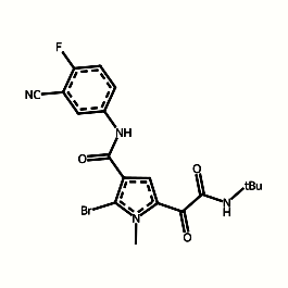 Cn1c(C(=O)C(=O)NC(C)(C)C)cc(C(=O)Nc2ccc(F)c(C#N)c2)c1Br